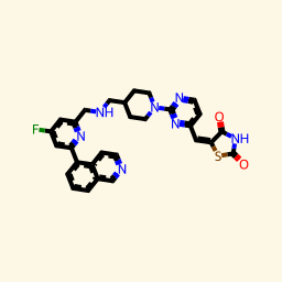 O=C1NC(=O)/C(=C\c2ccnc(N3CCC(CNCc4cc(F)cc(-c5cccc6cnccc56)n4)CC3)n2)S1